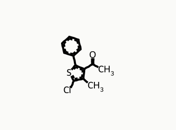 CC(=O)c1c(-c2ccccc2)sc(Cl)c1C